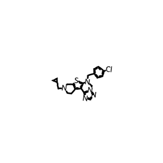 Clc1ccc(CN2Cn3ncnc3-c3c2sc2c3CCN(CC3CC3)C2)cc1